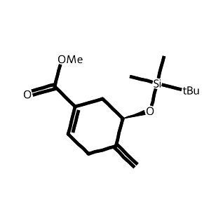 C=C1CC=C(C(=O)OC)C[C@H]1O[Si](C)(C)C(C)(C)C